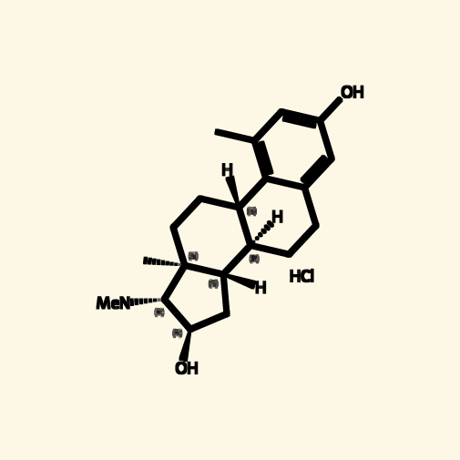 CN[C@H]1[C@H](O)C[C@H]2[C@@H]3CCc4cc(O)cc(C)c4[C@H]3CC[C@@]21C.Cl